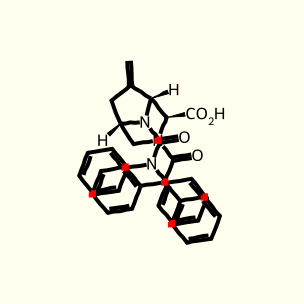 C=C1C[C@H]2CN(C(=O)C(c3ccccc3)c3ccccc3)[C@H](C(=O)O)[C@@H]1N2C(=O)N(c1ccccc1)c1ccccc1